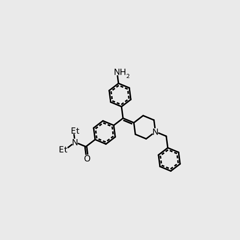 CCN(CC)C(=O)c1ccc(C(=C2CCN(Cc3ccccc3)CC2)c2ccc(N)cc2)cc1